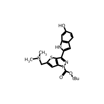 CN(C)Cc1cc2c(s1)c(-c1cc3ccc(O)cc3[nH]1)nn2C(=O)OC(C)(C)C